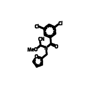 COC(C#N)N(Cc1ccco1)C(=O)c1cc(Cl)cc(Cl)c1